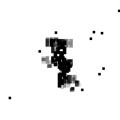 C=C/C=C\C(=C/N)c1cc2c(c(=O)o1)CC1C3CC[C@H](O)[C@@H](CO)[C@@H]3CC[C@@]1(C)O2